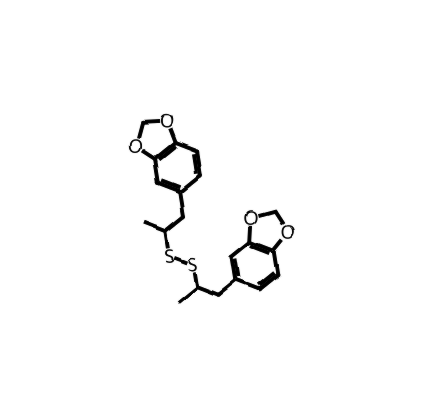 CC(Cc1ccc2c(c1)OCO2)SSC(C)Cc1ccc2c(c1)OCO2